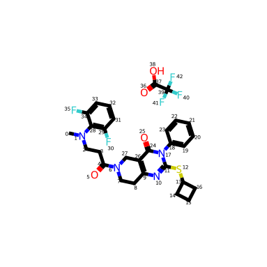 CN(CCC(=O)N1CCc2nc(SC3CCC3)n(-c3ccccc3)c(=O)c2C1)c1c(F)cccc1F.O=C(O)C(F)(F)F